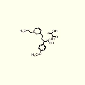 CCCN1CC=CC(CCC(=NO)c2ccc(OC)cc2)C1.O=C(O)C(=O)O